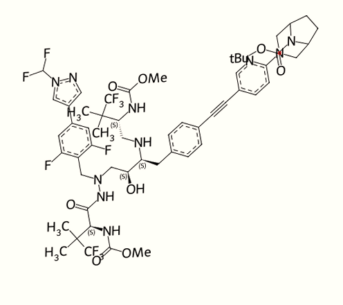 COC(=O)N[C@H](C(=O)NN(Cc1c(F)cc(-c2cnn(C(F)F)c2)cc1F)C[C@H](O)[C@H](Cc1ccc(C#Cc2ccc(N3CC4CCC(C3)N4C(=O)OC(C)(C)C)nc2)cc1)NC[C@@H](NC(=O)OC)C(C)(C)C(F)(F)F)C(C)(C)C(F)(F)F